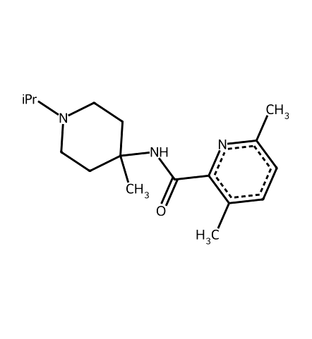 Cc1ccc(C)c(C(=O)NC2(C)CCN(C(C)C)CC2)n1